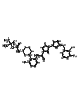 CC(C)(C)OC(=O)N[C@@H]1CCCN(c2c(F)cccc2NC(=O)c2csc(-c3cnn(Cc4cccc(F)c4F)c3)n2)C1